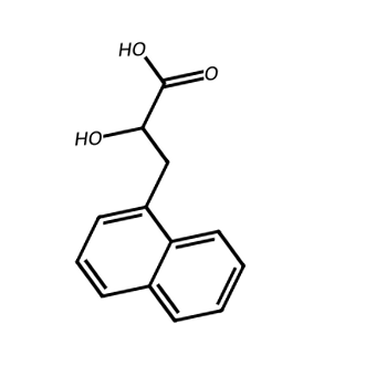 O=C(O)C(O)Cc1cccc2ccccc12